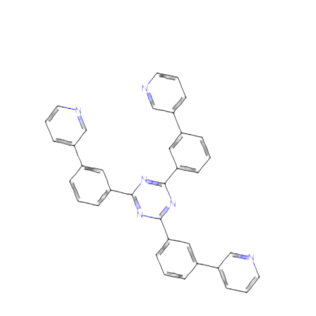 c1cncc(-c2cccc(-c3nc(-c4cccc(-c5cccnc5)c4)nc(-c4cccc(-c5cccnc5)c4)n3)c2)c1